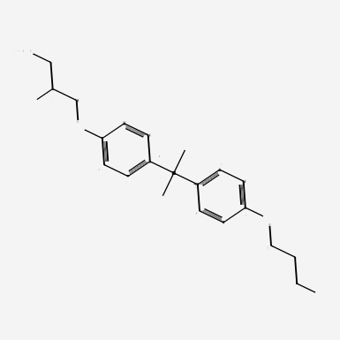 CC(C)(c1ccc(OCCCCl)cc1)c1ccc(OCC(O)CO)cc1